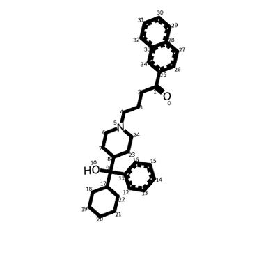 O=C(CCCN1CCC(C(O)(c2ccccc2)C2CCCCC2)CC1)c1ccc2ccccc2c1